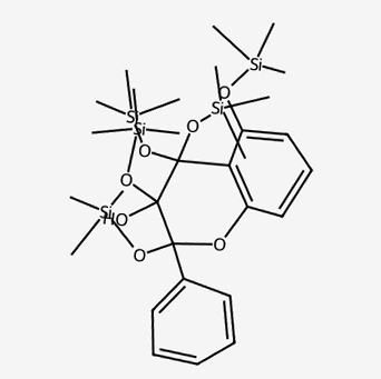 C[Si](C)(C)Oc1cccc2c1C(O[Si](C)(C)C)(O[Si](C)(C)C)C(O)(O[Si](C)(C)C)C(O[Si](C)(C)C)(c1ccccc1)O2